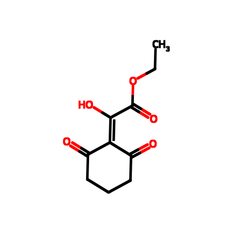 CCOC(=O)C(O)=C1C(=O)CCCC1=O